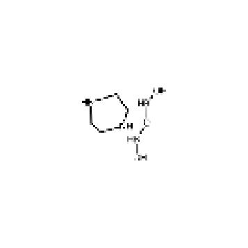 C1CNCCN1.OBOBO